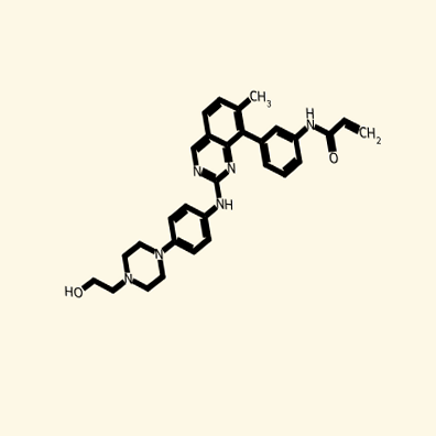 C=CC(=O)Nc1cccc(-c2c(C)ccc3cnc(Nc4ccc(N5CCN(CCO)CC5)cc4)nc23)c1